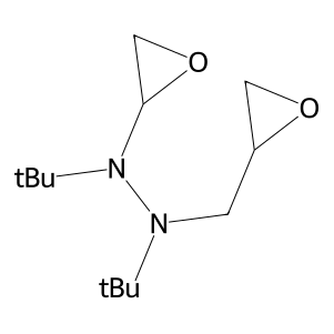 CC(C)(C)N(CC1CO1)N(C1CO1)C(C)(C)C